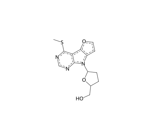 CSc1ncnc2c1c1occc1n2C1CCC(CO)O1